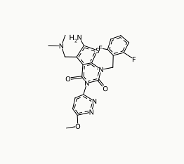 COc1ccc(-n2c(=O)c3c(CN(C)C)c(N)sc3n(Cc3c(F)cccc3F)c2=O)nn1